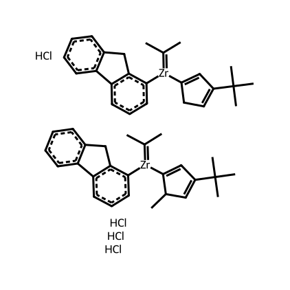 C[C](C)=[Zr]([C]1=CC(C(C)(C)C)=CC1)[c]1cccc2c1Cc1ccccc1-2.C[C](C)=[Zr]([C]1=CC(C(C)(C)C)=CC1C)[c]1cccc2c1Cc1ccccc1-2.Cl.Cl.Cl.Cl